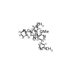 COc1ncc(-c2ccnc(C)c2)cc1NC(=O)[C@H](Cc1ccccc1)N(C)c1cn(C)cn1